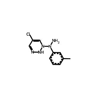 Cc1cccc(N(N)N2[C]=C(Cl)C=NN2)c1